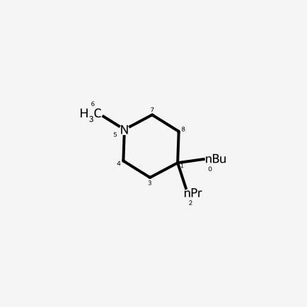 CCCCC1(CCC)CCN(C)CC1